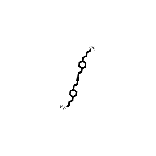 CCCCCC1CCC(C=CC#CC=CC2CCC(CCCC)CC2)CC1